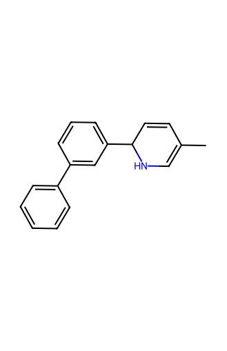 CC1=CNC(c2cccc(-c3ccccc3)c2)C=C1